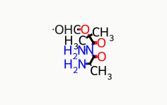 C[C@H](N)C(=O)N(N)C(=O)C(C)(C)O[C]=O